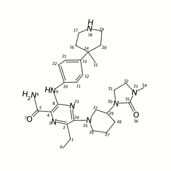 CCc1nc(C(N)=O)c(Nc2ccc(C3(C)CCNCC3)cc2)nc1N1CCCC(N2CCN(C)C2=O)C1